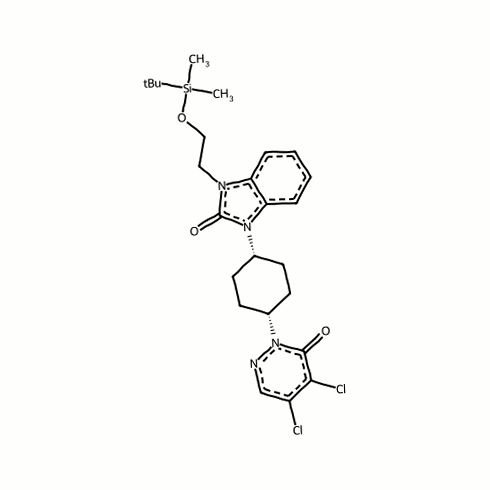 CC(C)(C)[Si](C)(C)OCCn1c(=O)n([C@H]2CC[C@@H](n3ncc(Cl)c(Cl)c3=O)CC2)c2ccccc21